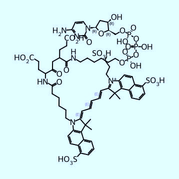 CC1(C)C(/C=C/C=C/C=C2/N(CCCCCC(=O)NC(CCC(=O)O)C(=O)CC(CCC(=O)O)C(=O)NCCCCCCOP(=O)(O)OP(=O)(O)OP(=O)(O)OC[C@H]3O[C@@H](n4ccc(N)nc4=O)C[C@H]3O)c3ccc4c(S(=O)(=O)O)cccc4c3C2(C)C)=[N+](CCCS(=O)(=O)O)c2ccc3c(S(=O)(=O)O)cccc3c21